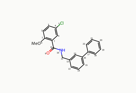 COc1ccc(Cl)cc1C(=O)NCc1cccc(-c2ccccc2)c1